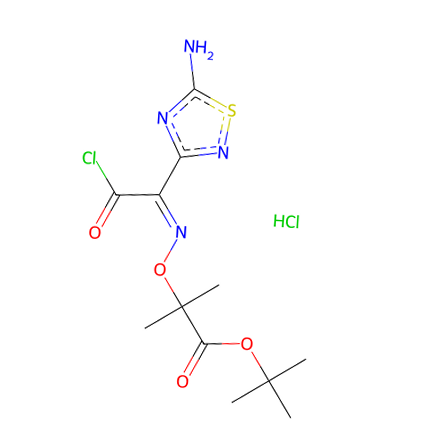 CC(C)(C)OC(=O)C(C)(C)ON=C(C(=O)Cl)c1nsc(N)n1.Cl